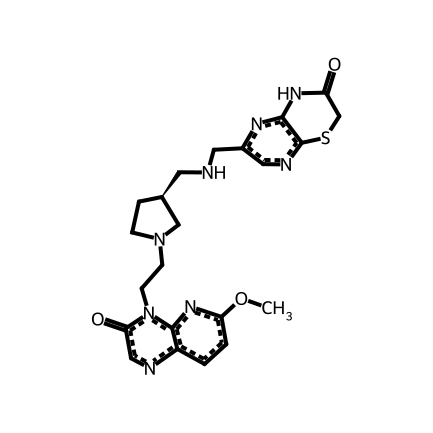 COc1ccc2ncc(=O)n(CCN3CC[C@@H](CNCc4cnc5c(n4)NC(=O)CS5)C3)c2n1